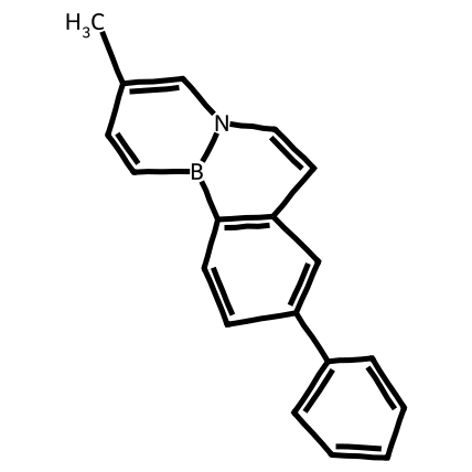 CC1=CN2C=Cc3cc(-c4ccccc4)ccc3B2C=C1